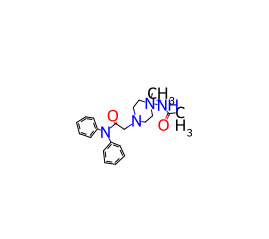 CC(=O)N[N+]1(C)CCN(CC(=O)N(c2ccccc2)c2ccccc2)CC1